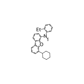 CCc1ccccc1N(I)c1cccc2c1oc1c(C3CCCCC3)cccc12